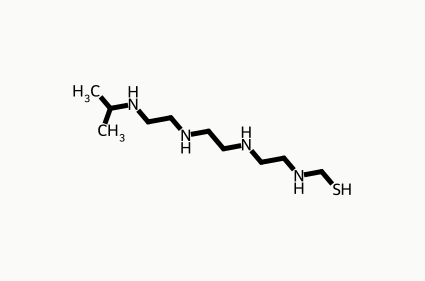 CC(C)NCCNCCNCCNCS